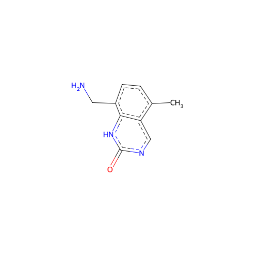 Cc1ccc(CN)c2[nH]c(=O)ncc12